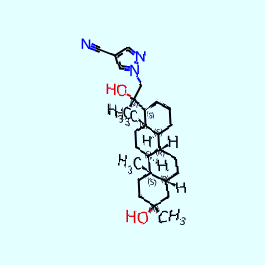 C[C@@]1(O)CC[C@@]2(C)[C@H](CC[C@@H]3[C@@H]2CC[C@@]2(C)[C@H]3CCC[C@@H]2[C@](C)(O)Cn2cc(C#N)cn2)C1